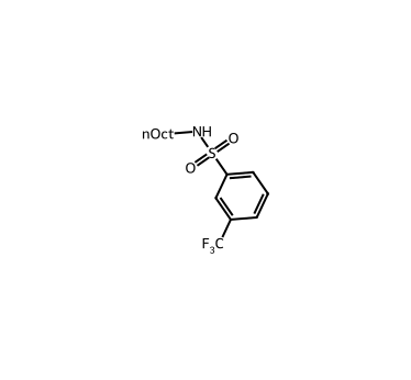 CCCCCCCCNS(=O)(=O)c1cccc(C(F)(F)F)c1